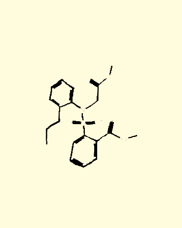 CCCc1ccccc1N(CC(=O)OC)S(=O)(=O)c1ccccc1C(=O)OC